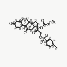 CCCCOC(=O)O[C@]1(C(=O)COS(=O)(=O)c2ccc(C)cc2)CC[C@H]2[C@@H]3CCC4=CC(=O)C=C[C@]4(C)[C@H]3C(=O)C[C@@]21C